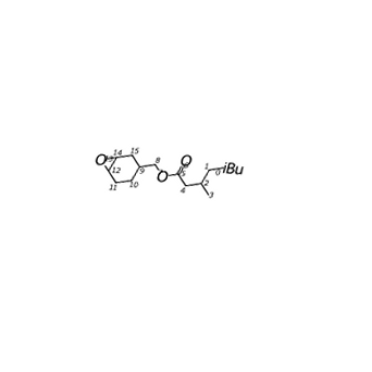 CCC(C)CC(C)CC(=O)OCC1CCC2OC2C1